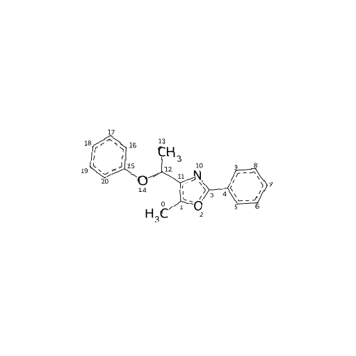 Cc1oc(-c2ccccc2)nc1C(C)Oc1ccccc1